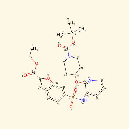 CCOC(=O)c1cc2ccc(S(=O)(=O)Nc3cccnc3OC3CCN(C(=O)OC(C)(C)C)CC3)cc2o1